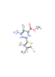 COC(=O)c1nc(-c2sc(F)c(C)c2Cl)nc(N)c1Cl